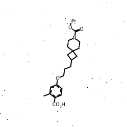 Cc1cc(OCCCC2CC3(CCN(C(=O)OC(C)C)CC3)C2)ccc1C(=O)O